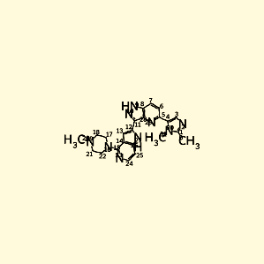 Cc1ncc(-c2ccc3[nH]nc(-c4cc5c(N6CCN(C)CC6)nccc5[nH]4)c3n2)n1C